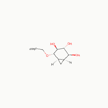 CCCCCCCCO[C@@H]1[C@@H](O)[C@H](O)[C@@H](O)[C@H]2C[C@H]21